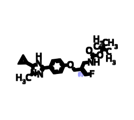 CN1N=C(c2ccc(OC/C(=C/F)CNC(=O)OC(C)(C)C)cc2)NC1C1CC1